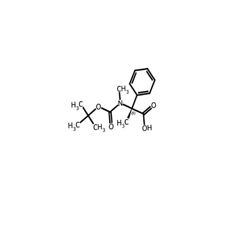 CN(C(=O)OC(C)(C)C)[C@@](C)(C(=O)O)c1ccccc1